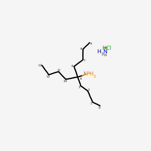 CCCCC(P)(CCCC)CCCC.Cl.N